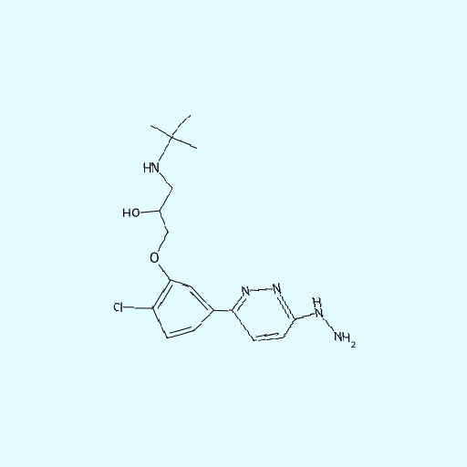 CC(C)(C)NCC(O)COc1cc(-c2ccc(NN)nn2)ccc1Cl